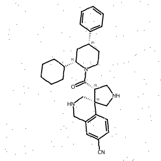 N#Cc1ccc2c(c1)CNC[C@]21CNC[C@H]1C(=O)N1CC[C@@H](c2ccccc2)C[C@H]1C1CCCCC1